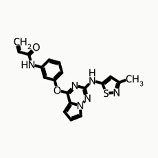 C=CC(=O)Nc1cccc(Oc2nc(Nc3cc(C)ns3)nn3cccc23)c1